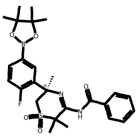 CC1(C)OB(c2ccc(F)c([C@]3(C)CS(=O)(=O)C(C)(C)C(NC(=O)c4ccccc4)=N3)c2)OC1(C)C